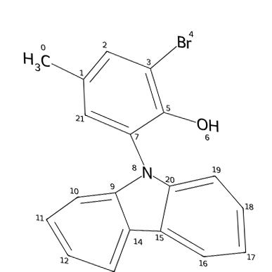 Cc1cc(Br)c(O)c(-n2c3ccccc3c3ccccc32)c1